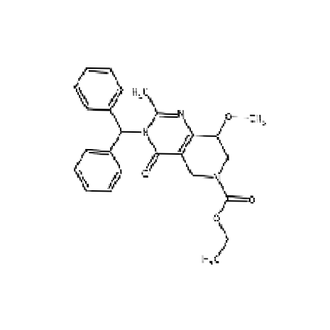 CCOC(=O)N1Cc2c(nc(C)n(C(c3ccccc3)c3ccccc3)c2=O)C(OC)C1